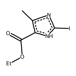 CCOC(=O)c1[nH]c(I)nc1C